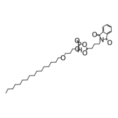 CCCCCCCCCCCCCCCCOCCCO[PH](=O)OC(=O)CCCN1C(=O)c2ccccc2C1=O